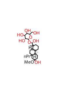 CCC[C@@]12CC[C@H]3[C@@](C)(CCC[C@@]3(C)C(O)OC3OC(CO)C(O)C(O)C3O)[C@@H]1CC[C@@](O)(OC)C2